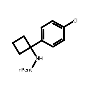 CCCCCNC1(c2ccc(Cl)cc2)CCC1